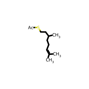 CC(=O)SCCC(C)CCC=C(C)C